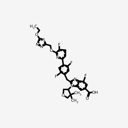 CCOc1nnc(COc2nc(-c3cc(F)c(Cc4nc5c(F)cc(C(=O)O)cc5n4C4COCC4(C)C)cc3F)ccc2F)s1